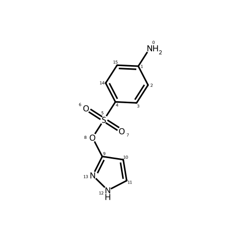 Nc1ccc(S(=O)(=O)Oc2cc[nH]n2)cc1